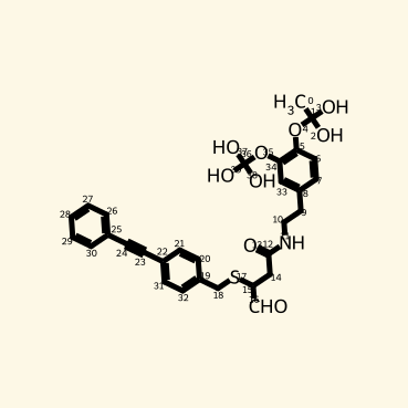 CC(O)(O)Oc1ccc(CCNC(=O)CC(C=O)SCc2ccc(C#Cc3ccccc3)cc2)cc1OC(O)(O)O